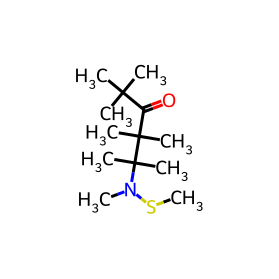 CSN(C)C(C)(C)C(C)(C)C(=O)C(C)(C)C